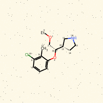 CCOC[C@@H](Oc1cccc(Cl)c1C)[C@H]1CCNC1